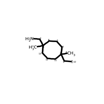 CC1(CN)CCCC(C)(CI)CCC1